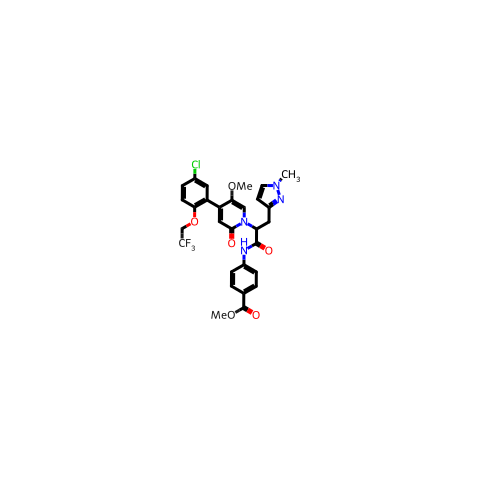 COC(=O)c1ccc(NC(=O)C(Cc2ccn(C)n2)n2cc(OC)c(-c3cc(Cl)ccc3OCC(F)(F)F)cc2=O)cc1